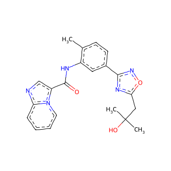 Cc1ccc(-c2noc(CC(C)(C)O)n2)cc1NC(=O)c1cnc2ccccn12